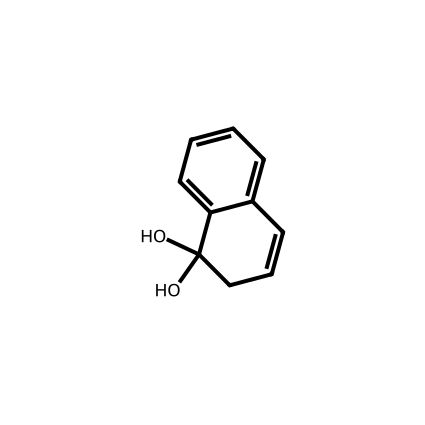 OC1(O)CC=Cc2ccccc21